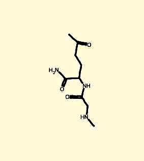 CNCC(=O)NC(CCC(C)=O)C(N)=O